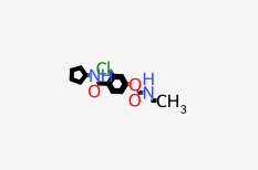 CCNC(=O)Oc1ccc(C(=O)NC2CCCC2)c(Cl)c1